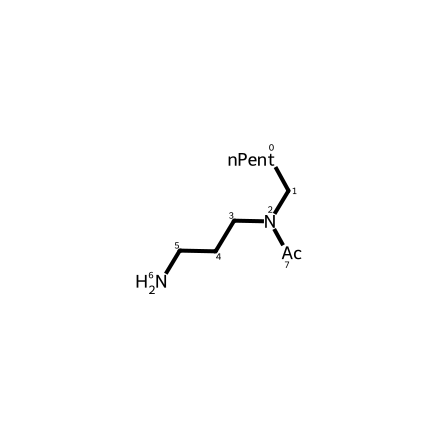 CCCCCCN(CCCN)C(C)=O